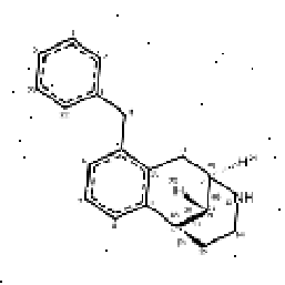 c1ccc(Cc2cccc3c2C[C@H]2NCC[C@@]34CCCC[C@@H]24)cc1